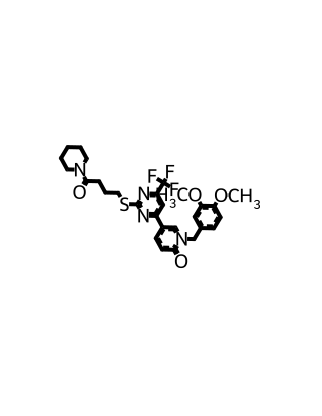 COc1ccc(Cn2cc(-c3cc(C(F)(F)F)nc(SCCCC(=O)N4CCCCC4)n3)ccc2=O)cc1OC